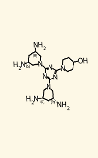 N[C@@H]1C[C@@H](N)CN(c2nc(N3CCC(O)CC3)nc(N3C[C@H](N)C[C@H](N)C3)n2)C1